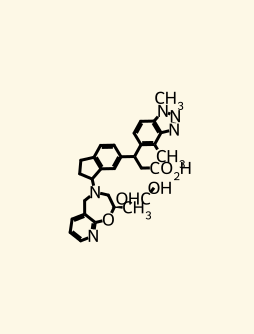 Cc1c(C(CC(=O)O)c2ccc3c(c2)C(N2Cc4cccnc4O[C@H](C)C2)CC3)ccc2c1nnn2C.O=CO